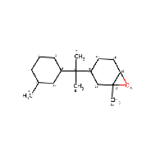 CC1CCCC(C(C)(C)C2CCC3OC3(C)C2)C1